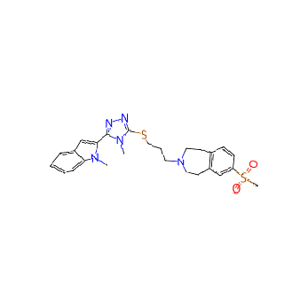 Cn1c(SCCCN2CCc3ccc(S(C)(=O)=O)cc3CC2)nnc1-c1cc2ccccc2n1C